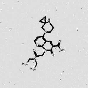 CCN(CC)C(=O)Cn1c(=O)c(C(N)=O)cc2c(N3CCNC4(CC4)C3)ccnc21